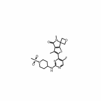 Cc1c(-c2nc(NC3CCN(S(C)(=O)=O)CC3)ncc2F)sc2c1C(=O)N(C)C21COC1